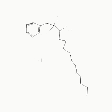 CCCCCCCCCCCC(P)C(O)(O)Cc1ccccc1.Cl